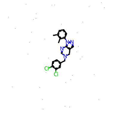 Cc1cccc(-n2ncc3c2N=CN(Cc2ccc(Cl)c(Cl)c2)C3)c1C